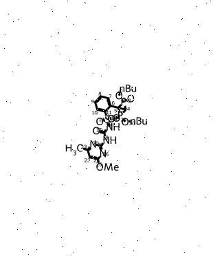 CCCCOP1(=O)C2C1(c1ccccc1S(=O)(=O)NC(=O)Nc1nc(C)cc(OC)n1)P2(=O)OCCCC